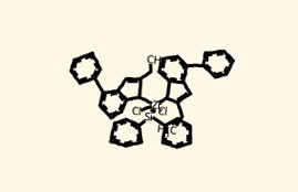 CCC1=Cc2c(-c3ccccc3)cccc2[CH]1[Zr]([Cl])([Cl])([CH]1C(CC)=Cc2c(-c3ccccc3)cccc21)=[Si](c1ccccc1)c1ccccc1